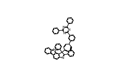 C1#CC(c2cccc(-c3nc(-c4ccccc4)nc(-c4ccccc4)n3)c2)C=CC(C2(c3ccccc3)C(c3ccccc3)=Nc3ccc4c([nH]c5ccccc54)c32)=C1